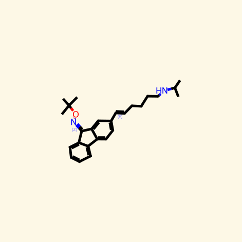 CC(C)NCCCC/C=C/c1ccc2c(c1)/C(=N\OC(C)(C)C)c1ccccc1-2